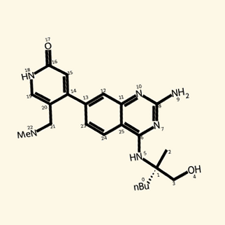 CCCC[C@](C)(CO)Nc1nc(N)nc2cc(-c3cc(=O)[nH]cc3CNC)ccc12